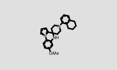 COc1ccc2c(c1)NC1(CCN(c3cccc4c3CCCC4)CC1)c1cccn1-2